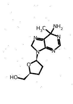 CC1(N)N=CN=C2C1=NCN2[C@H]1CC[C@@H](CO)O1